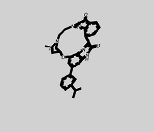 CC(C)c1cccc(-c2cc3c4nc(c(=O)[nH]c4c2)-c2cccc4c(=O)n([nH]c24)CCN2CC(C[C@H]2C)O3)c1